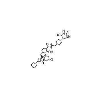 O=C1CC[C@@]2(O)[C@H]3Cc4ccc(C(=O)NCCc5ccc(C6=CNC(=O)NC6O)cc5)c(O)c4[C@@]2(CCN3CCc2ccccc2)C1